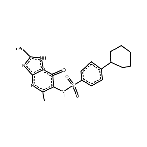 CCCc1nc2nc(C)c(NS(=O)(=O)c3ccc(C4CCCCC4)cc3)c(=O)n2[nH]1